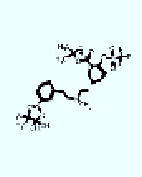 CN(CCc1cccc(B2OC(C)(C)C(C)(C)O2)c1)CC[C@H]1CC=C(OS(=O)(=O)C(F)(F)F)N(C(=O)OC(C)(C)C)C1